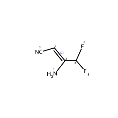 N#C/C=C(\N)C(F)F